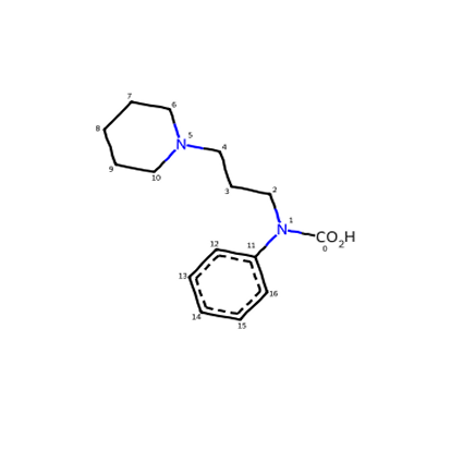 O=C(O)N(CCCN1CCCCC1)c1ccccc1